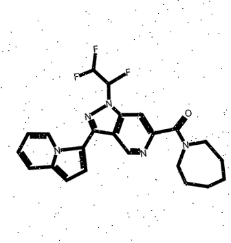 O=C(c1cc2c(cn1)c(-c1ccc3ccccn13)nn2C(F)C(F)F)N1CCCCCC1